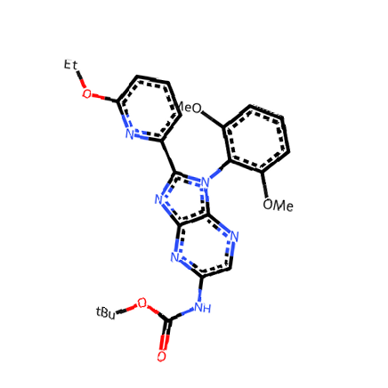 CCOc1cccc(-c2nc3nc(NC(=O)OC(C)(C)C)cnc3n2-c2c(OC)cccc2OC)n1